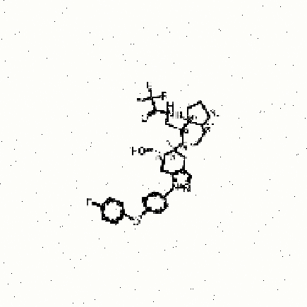 C[C@H]1CC[C@H]2[C@H](CNC(=O)C(F)(F)F)[C@@H]([C@@]3(C)Cc4cnn(-c5ccc(Oc6ccc(F)cc6)cc5)c4C[C@@H]3CO)CC[C@]12C